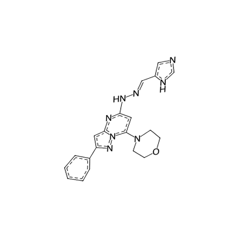 C(=NNc1cc(N2CCOCC2)n2nc(-c3ccccc3)cc2n1)c1cnc[nH]1